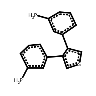 Pc1cccc(-c2cscc2-c2cccc(P)c2)c1